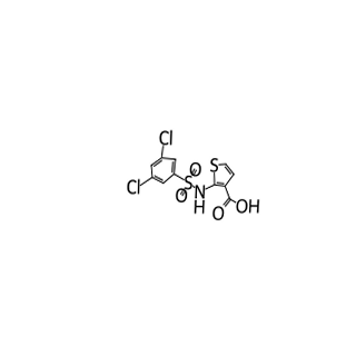 O=C(O)c1ccsc1NS(=O)(=O)c1cc(Cl)cc(Cl)c1